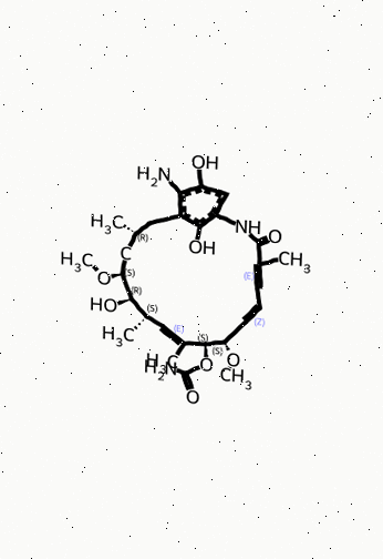 CO[C@H]1/C=C\C=C(/C)C(=O)Nc2cc(O)c(N)c(c2O)C[C@@H](C)C[C@H](OC)[C@H](O)[C@@H](C)/C=C(\C)[C@@H]1OC(N)=O